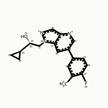 Cc1cc(-c2cnc3cnn(C[C@@H](O)C4CC4)c3c2)ccc1F